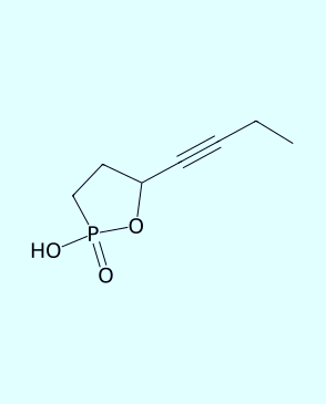 CCC#CC1CCP(=O)(O)O1